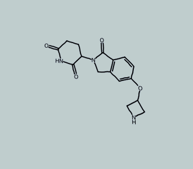 O=C1CCC(N2Cc3cc(OC4CNC4)ccc3C2=O)C(=O)N1